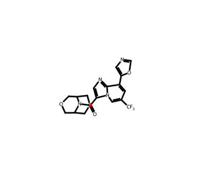 O=C(c1cnc2c(-c3cnco3)cc(C(F)(F)F)cn12)N1C2COCC1COC2